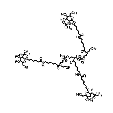 CC(=O)NC1C(OCCCCCC(=O)NCCCCCC(=O)N(CCO)CCOP(=O)(O)OCCN(COP(=O)(O)OCCN(CCO)C(=O)CCCCCNC(=O)CCCCCOC2OC(CO)C(O)C(O)C2NC(C)=O)C(=O)CCCCCNC(=O)CCCCCOC2OC(CO)C(O)C(O)C2NC(C)=O)OC(CO)C(O)C1O